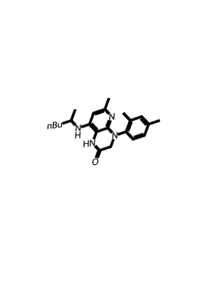 CCCCC(C)Nc1cc(C)nc2c1NC(=O)CN2c1ccc(C)cc1C